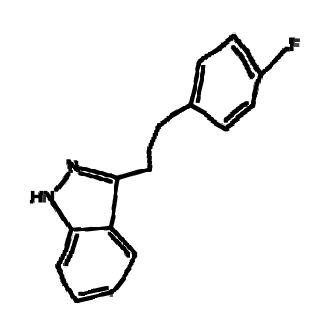 Fc1ccc(CCc2n[nH]c3cc[c]cc23)cc1